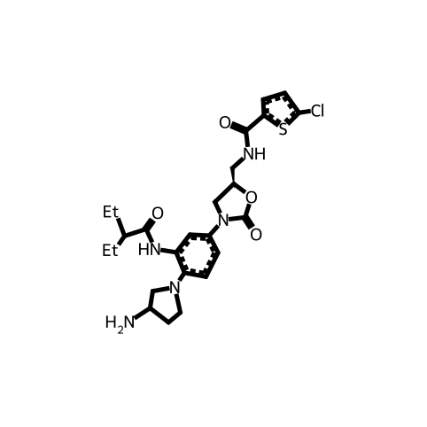 CCC(CC)C(=O)Nc1cc(N2C[C@@H](CNC(=O)c3ccc(Cl)s3)OC2=O)ccc1N1CCC(N)C1